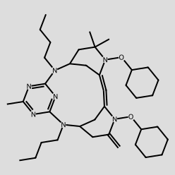 C=C1CC2CC(=C=C3CC(CC(C)(C)N3OC3CCCCC3)N(CCCC)c3nc(C)nc(n3)N2CCCC)N1OC1CCCCC1